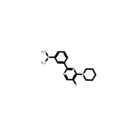 CN(C)c1cccc(-c2ncc(F)c(N3CCCCC3)n2)c1